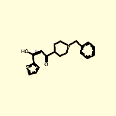 O=C(/C=C(/O)c1cccs1)C1CCN(Cc2ccccc2)CC1